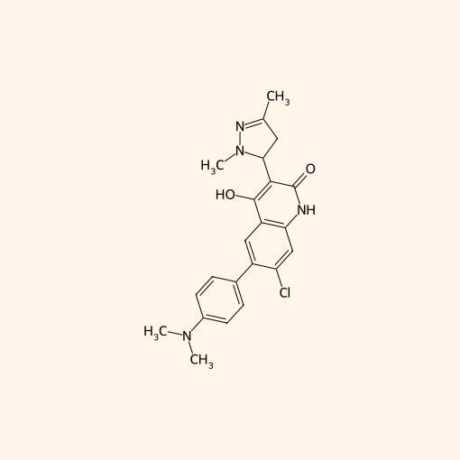 CC1=NN(C)C(c2c(O)c3cc(-c4ccc(N(C)C)cc4)c(Cl)cc3[nH]c2=O)C1